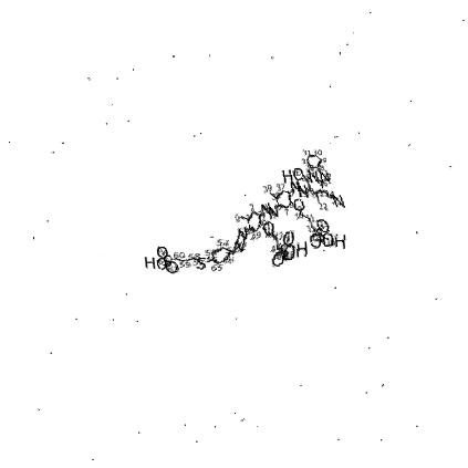 Cc1cc(N=Nc2cc(OCCCS(=O)(=O)O)c(N=Nc3c(C)c(C#N)c4nc5ccccc5n4c3O)cc2C)c(OCCCS(=O)(=O)O)cc1N=Nc1ccc(SCCCS(=O)(=O)O)cc1